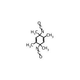 CC1=CC(C)(N=C=O)C(C)=CC1(C)N=C=O